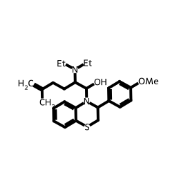 C=C(C)CCC(C(O)N1c2ccccc2SCC1c1ccc(OC)cc1)N(CC)CC